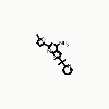 Cc1ccc(-c2nc(N)c3cc(C(C)(C)c4ccccn4)sc3n2)o1